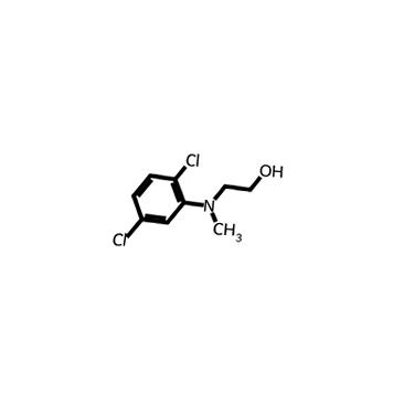 CN(CCO)c1cc(Cl)ccc1Cl